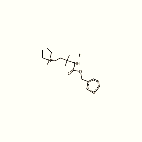 CC[N+](C)(CC)CCC(C)(C)NC(=O)OCc1ccccc1.[I-]